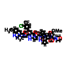 COC(=O)C[C@@H](C(=O)N1CCOCC1)N(C)C(=O)[C@H](C1CCCC1)N(C)C(=O)C1(NC(=O)[C@@H]2CCCN2C(=O)[C@H](CCc2ccc(C(F)(F)F)c(Cl)c2)NC(=O)CN(C)C(=O)[C@@H](N)Cc2ccc(C)cc2)CCCC1